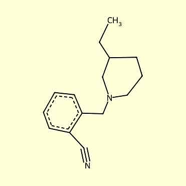 CCC1CCCN(Cc2ccccc2C#N)C1